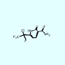 NC(=O)c1ccc(C(F)(Cl)C(F)(F)F)[nH]c1=O